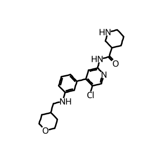 O=C(Nc1cc(-c2cccc(NCC3CCOCC3)c2)c(Cl)cn1)C1CCCNC1